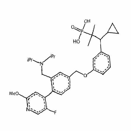 COc1cc(-c2ccc(COc3cccc(C(C4CC4)C(C)(C)P(=O)(O)O)c3)cc2CN(C(C)C)C(C)C)c(F)cn1